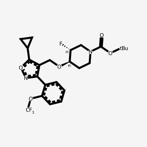 CC(C)(C)OC(=O)N1CC[C@@H](OCc2c(-c3ccccc3OC(F)(F)F)noc2C2CC2)[C@H](F)C1